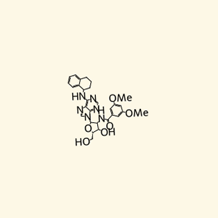 COc1cc(OC)cc(C(=O)NC2C(O)[C@@H](CO)O[C@H]2n2cnc3c(NC4CCCc5ccccc54)ncnc32)c1